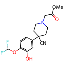 COC(=O)CN1CCC(C#N)(c2ccc(OC(F)F)c(O)c2)CC1